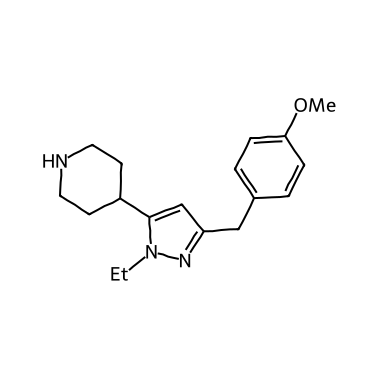 CCn1nc(Cc2ccc(OC)cc2)cc1C1CCNCC1